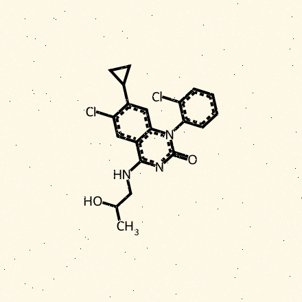 CC(O)CNc1nc(=O)n(-c2ccccc2Cl)c2cc(C3CC3)c(Cl)cc12